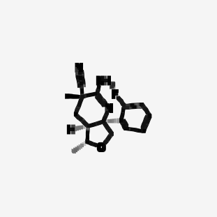 C[C@H]1OC[C@]2(c3ccccc3F)N=C(N)[C@@](C)(C#N)C[C@H]12